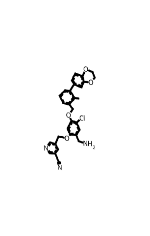 Cc1c(COc2cc(OCc3cncc(C#N)c3)c(CN)cc2Cl)cccc1-c1ccc2c(c1)OCCO2